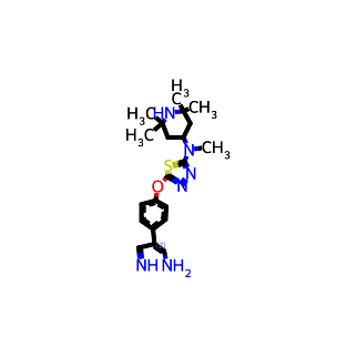 CN(c1nnc(Oc2ccc(/C(C=N)=C/N)cc2)s1)C1CC(C)(C)NC(C)(C)C1